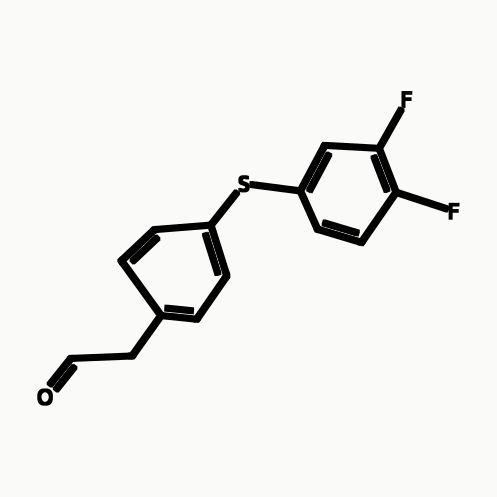 O=CCc1ccc(Sc2ccc(F)c(F)c2)cc1